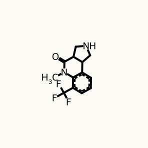 CN1C(=O)C2CNCC2c2cccc(C(F)(F)F)c21